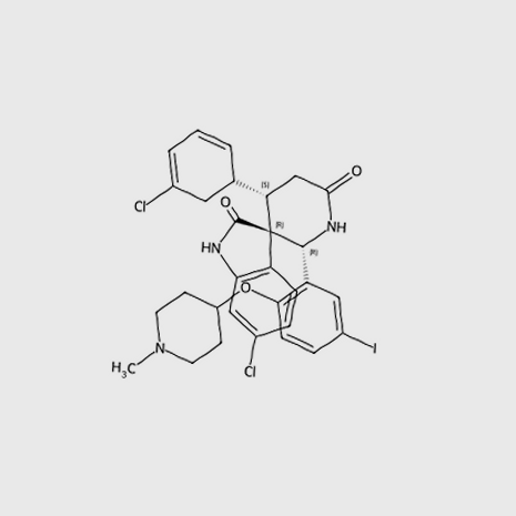 CN1CCC(Oc2ccc(I)cc2[C@H]2NC(=O)C[C@@H](C3C=CC=C(Cl)C3)[C@]23C(=O)Nc2cc(Cl)ccc23)CC1